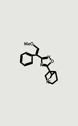 CO/C=C(\c1ccccc1)c1noc(C2CN3CCC2CC3)n1